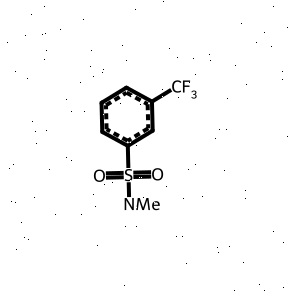 [CH2-][NH2+]S(=O)(=O)c1cccc(C(F)(F)F)c1